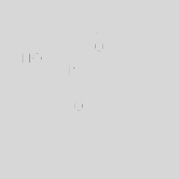 C#C.CCOP(O)OCC